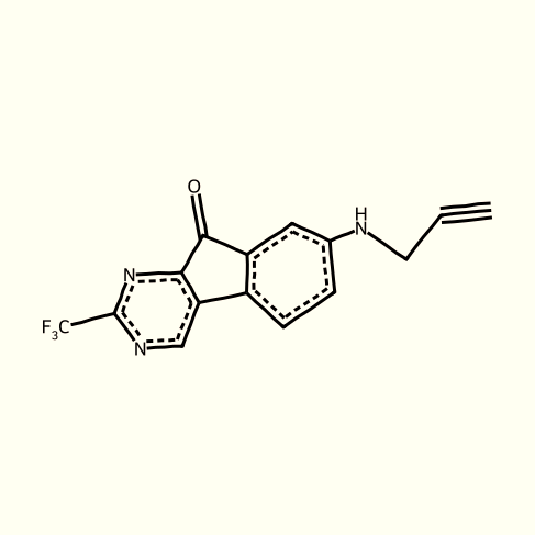 C#CCNc1ccc2c(c1)C(=O)c1nc(C(F)(F)F)ncc1-2